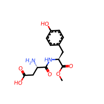 COC(=O)[C@H](Cc1ccc(O)cc1)NC(=O)[C@@H](N)CC(=O)O